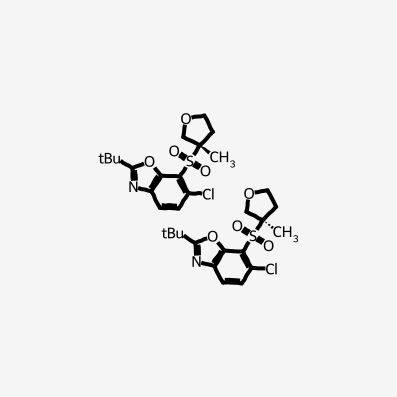 CC(C)(C)c1nc2ccc(Cl)c(S(=O)(=O)[C@@]3(C)CCOC3)c2o1.CC(C)(C)c1nc2ccc(Cl)c(S(=O)(=O)[C@]3(C)CCOC3)c2o1